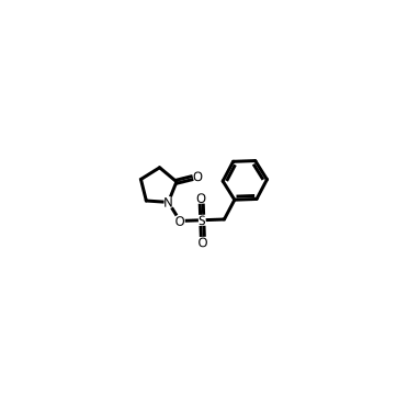 O=C1CCCN1OS(=O)(=O)Cc1ccccc1